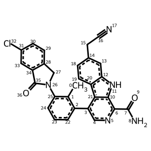 Cc1c(-c2cnc(C(N)=O)c3[nH]c4cc(CC#N)ccc4c23)cccc1N1Cc2ccc(Cl)cc2C1=O